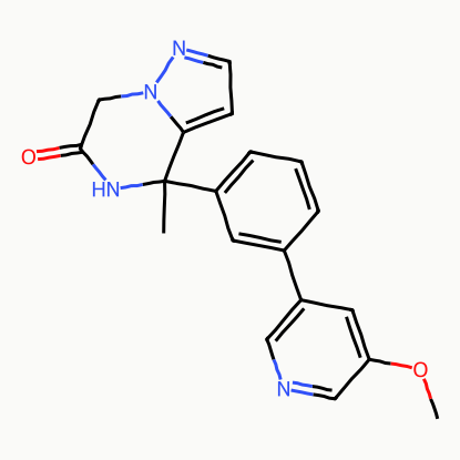 COc1cncc(-c2cccc(C3(C)NC(=O)Cn4nccc43)c2)c1